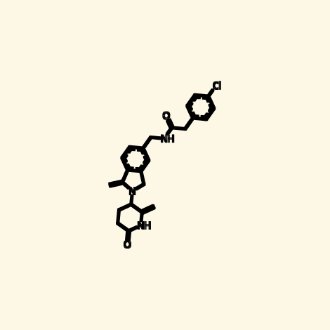 C=C1NC(=O)CCC1N1Cc2cc(CNC(=O)Cc3ccc(Cl)cc3)ccc2C1=C